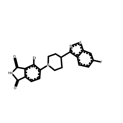 CCc1c(N2CCC(c3nsc4cc(F)ccc34)CC2)ccc2c1C(=O)NC2=O